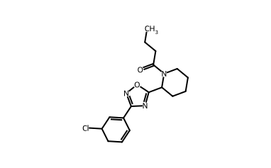 CCCC(=O)N1CCCCC1c1nc(C2=CC(Cl)CC=C2)no1